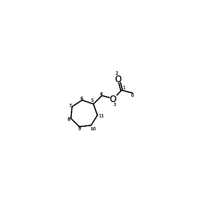 CC(=O)OCC1CCCCCC1